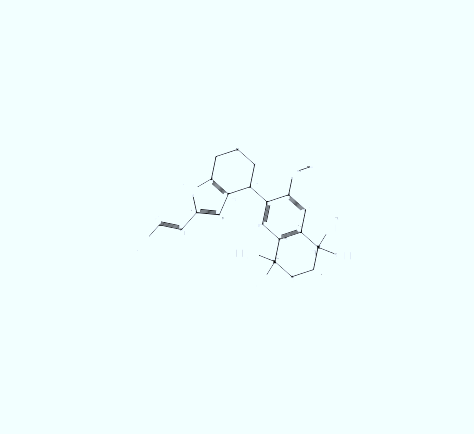 CCCOc1cc2c(cc1C1CCCc3oc(C=CC(=O)O)cc31)C(C)(C)CCC2(C)C